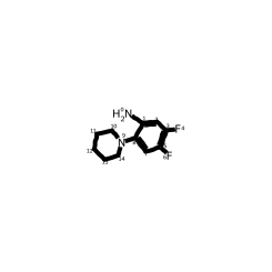 Nc1cc(F)c(F)cc1N1CCCCC1